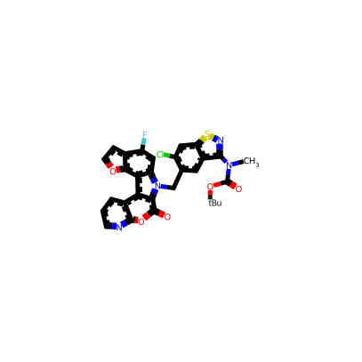 CN(C(=O)OC(C)(C)C)c1nsc2cc(Cl)c(Cn3c4cc(F)c5ccoc5c4c4c5cccnc5oc(=O)c43)cc12